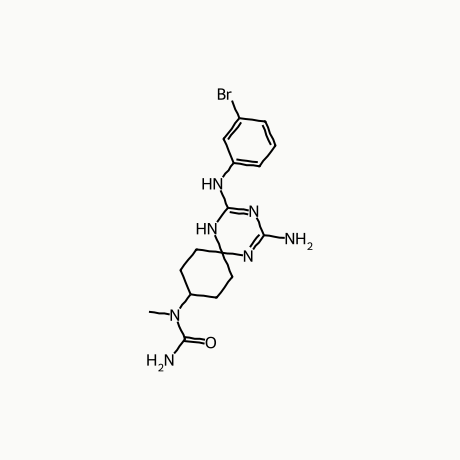 CN(C(N)=O)C1CCC2(CC1)N=C(N)N=C(Nc1cccc(Br)c1)N2